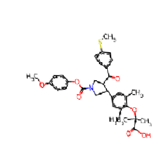 COc1ccc(OC(=O)N2CC(C(=O)c3ccc(SC)cc3)C(c3cc(C)c(OC(C)(C)C(=O)O)c(C)c3)C2)cc1